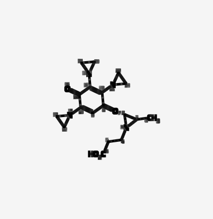 CC1CN1CCC(=O)O.O=C1C=C(N2CC2)C(=O)C(N2CC2)=C1N1CC1